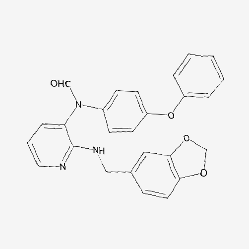 O=CN(c1ccc(Oc2ccccc2)cc1)c1cccnc1NCc1ccc2c(c1)OCO2